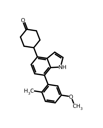 COc1ccc(C)c(-c2ccc(C3CCC(=O)CC3)c3cc[nH]c23)c1